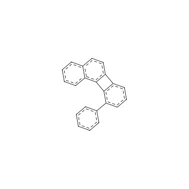 c1ccc(-c2cccc3c2-c2c-3ccc3ccccc23)cc1